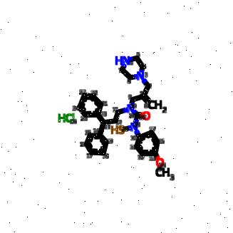 C=C(CN1CCNCC1)CN(CCC(c1ccccc1)c1ccccc1)C(=O)N(S)c1ccc(OC)cc1.Cl